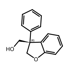 OC[C@]1(c2ccccc2)COc2ccccc21